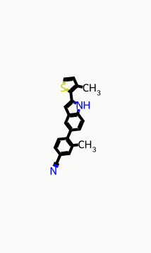 Cc1cc(C#N)ccc1-c1ccc2[nH]c(-c3sccc3C)cc2c1